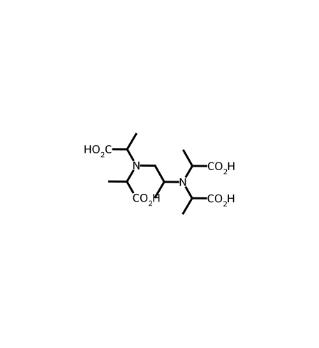 CC(C(=O)O)N(CC(C)N(C(C)C(=O)O)C(C)C(=O)O)C(C)C(=O)O